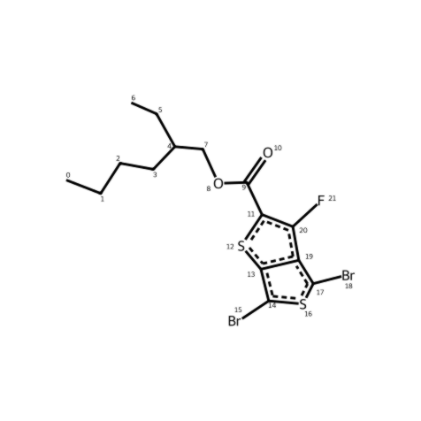 CCCCC(CC)COC(=O)c1sc2c(Br)sc(Br)c2c1F